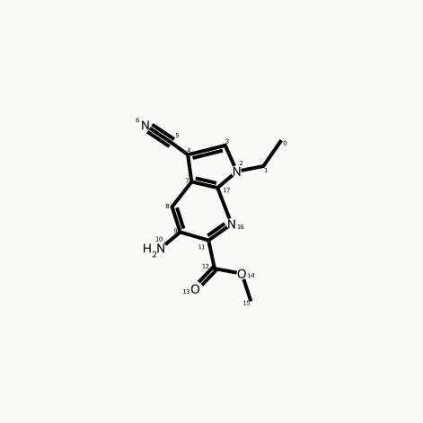 CCn1cc(C#N)c2cc(N)c(C(=O)OC)nc21